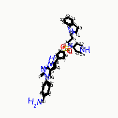 C=C1N=c2[nH]c(-c3ccc(S(=O)(=O)N(CCCN4CCc5ccccc54)C4CCNCC4)cc3)cc2=CN1c1ccc(CN)cc1